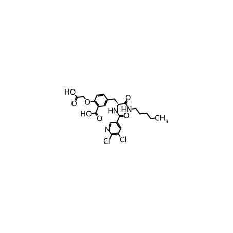 CCCCCNC(=O)[C@H](Cc1ccc(OCC(=O)O)c(C(=O)O)c1)NC(=O)c1cnc(Cl)c(Cl)c1